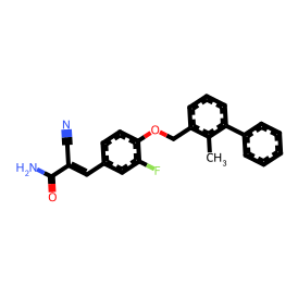 Cc1c(COc2ccc(/C=C(\C#N)C(N)=O)cc2F)cccc1-c1ccccc1